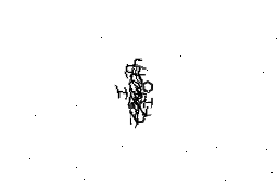 Cc1cc(C)nc(N2C=CN(NS(=O)(=O)c3ccccc3OC(F)(F)F)N2)n1